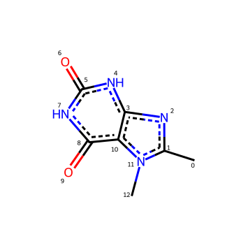 Cc1nc2[nH]c(=O)[nH]c(=O)c2n1C